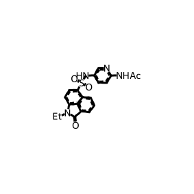 CCN1C(=O)c2cccc3c(S(=O)(=O)Nc4ccc(NC(C)=O)nc4)ccc1c23